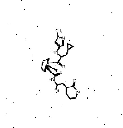 Cn1cc(NC(CC2CC2)C(=O)N2C3CCC(C2C(=O)NC(C#N)CC2CCCNC2=O)C(F)(F)C3)cn1